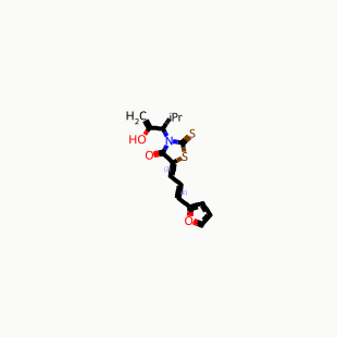 C=C(O)C(C(C)C)N1C(=O)/C(=C/C=C/c2ccco2)SC1=S